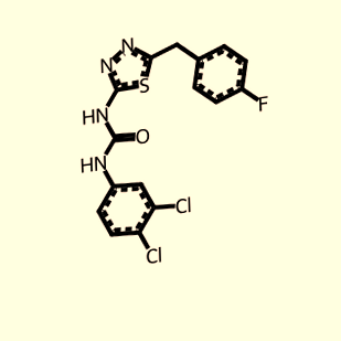 O=C(Nc1ccc(Cl)c(Cl)c1)Nc1nnc(Cc2ccc(F)cc2)s1